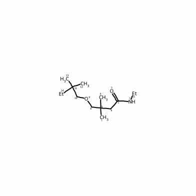 CCNC(=O)CC(C)(C)COCC(C)(C)CC